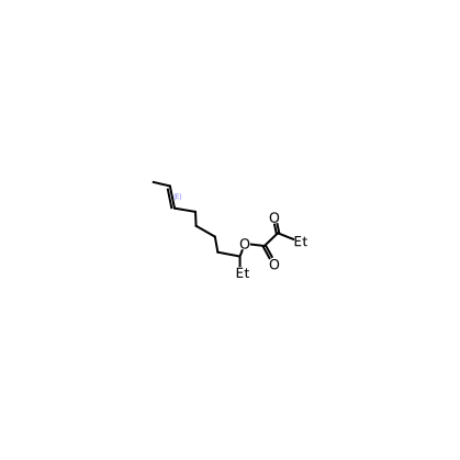 C/C=C/CCCCC(CC)OC(=O)C(=O)CC